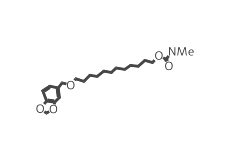 CNC(=O)OCCCCCCCCCCCCOCc1ccc2c(c1)OCO2